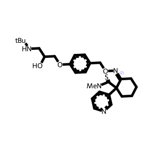 CNC(=S)C1(c2cccnc2)CCCC/C1=N/OCc1ccc(OCC(O)CNC(C)(C)C)cc1